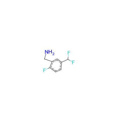 NCc1cc(C(F)F)ccc1F